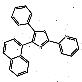 c1ccc(-c2sc(-c3ccccn3)nc2-c2cccc3ccccc23)cc1